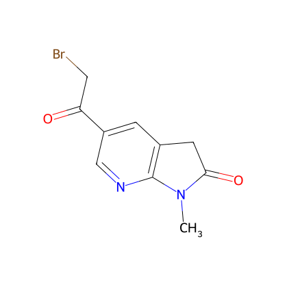 CN1C(=O)Cc2cc(C(=O)CBr)cnc21